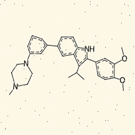 COc1ccc(-c2[nH]c3ccc(-c4cccc(N5CCN(C)CC5)c4)cc3c2C(C)C)cc1OC